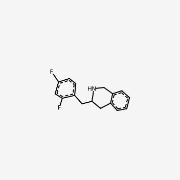 Fc1ccc(CC2Cc3ccccc3CN2)c(F)c1